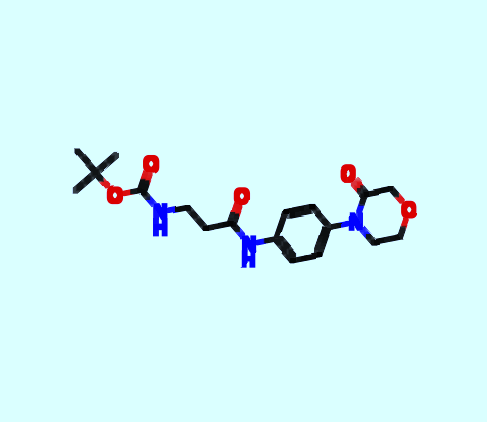 CC(C)(C)OC(=O)NCCC(=O)Nc1ccc(N2CCOCC2=O)cc1